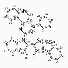 c1ccc(-c2nc(-n3c4ccccc4c4ccc5c(sc6sc7ccccc7c65)c43)nc3c2cnc2ccccc23)cc1